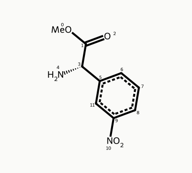 COC(=O)[C@@H](N)c1cccc([N+](=O)[O-])c1